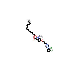 CC/C=C\C/C=C\C/C=C\CCCCCCCC(=O)OCN(C)c1cc(OCCCCN2CCN(c3cccc(Cl)c3Cl)CC2)ccc1CCC=O